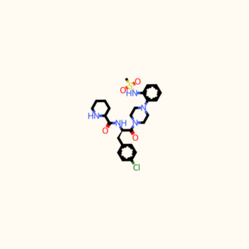 CS(=O)(=O)Nc1ccccc1N1CCN(C(=O)[C@@H](Cc2ccc(Cl)cc2)NC(=O)C2CCCCN2)CC1